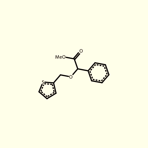 COC(=O)C(OCc1cccs1)c1ccccc1